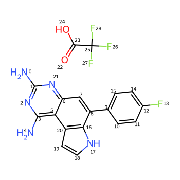 Nc1nc(N)c2c(cc(-c3ccc(F)cc3)c3[nH]ccc32)n1.O=C(O)C(F)(F)F